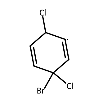 ClC1[C]=CC(Cl)(Br)C=C1